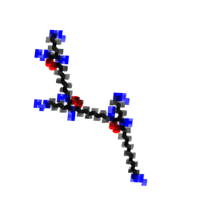 NCCCCCCCCCCCC(=O)NC(CCCCN)C(=O)NCCCCCCCC(=O)NC(CCCCN)C(=O)NCCCCCCCC(=O)NC(CCCCN)C(N)=O